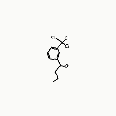 CCCC([O])c1cccc(C(Cl)(Cl)Cl)c1